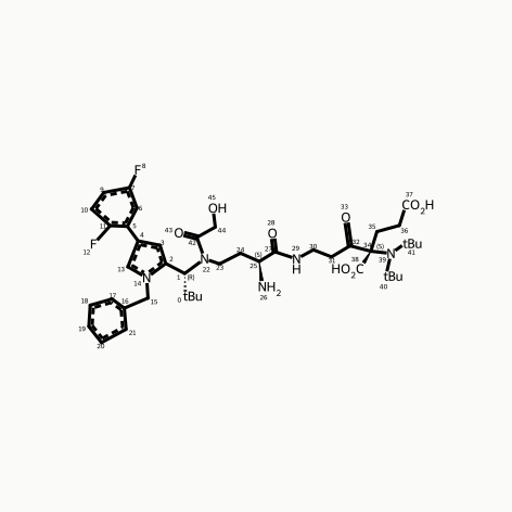 CC(C)(C)[C@H](c1cc(-c2cc(F)ccc2F)cn1Cc1ccccc1)N(CC[C@H](N)C(=O)NCCC(=O)[C@@](CCC(=O)O)(C(=O)O)N(C(C)(C)C)C(C)(C)C)C(=O)CO